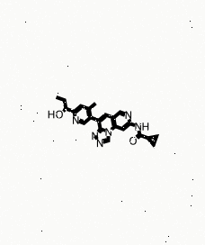 CCC(O)c1cc(C)c(-c2cc3cnc(NC(=O)C4CC4)cc3n3cnnc23)cn1